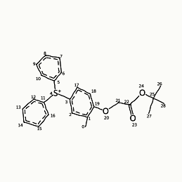 Cc1cc([S+](c2ccccc2)c2ccccc2)ccc1OCC(=O)OC(C)(C)C